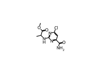 COC(=O)C(C)Nc1nc(Cl)cc(C(N)=O)n1